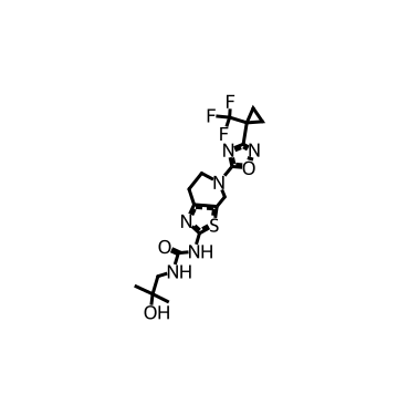 CC(C)(O)CNC(=O)Nc1nc2c(s1)CN(c1nc(C3(C(F)(F)F)CC3)no1)CC2